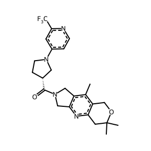 Cc1c2c(nc3c1CN(C(=O)[C@@H]1CCN(c4ccnc(C(F)(F)F)c4)C1)C3)CC(C)(C)OC2